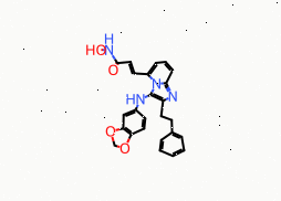 O=C(C=Cc1cccc2nc(CCc3ccccc3)c(Nc3ccc4c(c3)OCO4)n12)NO